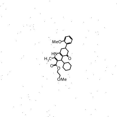 COCCOC(=O)C1=C(C)NC2=C(C(=O)CC(c3ccccc3OC)C2)C1C1CCCCC1